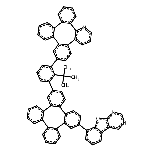 CC(C)(C)c1c(-c2ccc3c(c2)-c2ccccc2-c2ccccc2-c2cc(-c4cccc5c4oc4ncncc45)ccc2-3)cccc1-c1ccc2c(c1)-c1ccccc1-c1ccccc1-c1ncccc1-2